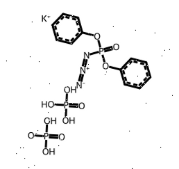 O=P(O)(O)O.O=P([O-])(O)O.[K+].[N-]=[N+]=NP(=O)(Oc1ccccc1)Oc1ccccc1